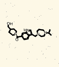 CC(C)N1CCCN(Cc2c[nH]c3cc(C(=O)N4CCC(CO)CC4)ccc23)CC1